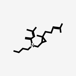 C=C(C=C(C)C)N(CCCC)CC1CC1(C)CCC=C(C)C